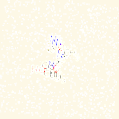 Cc1oc([C@@H]2CC[C@@H](C)N(C(=O)c3ccsc3-n3nccn3)C2)nc1C(C)(C)O